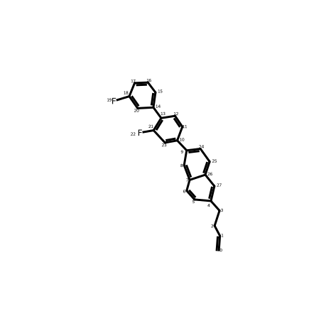 C=CCCc1ccc2cc(-c3ccc(-c4cccc(F)c4)c(F)c3)ccc2c1